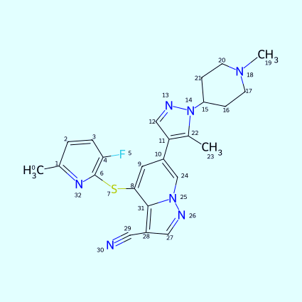 Cc1ccc(F)c(Sc2cc(-c3cnn(C4CCN(C)CC4)c3C)cn3ncc(C#N)c23)n1